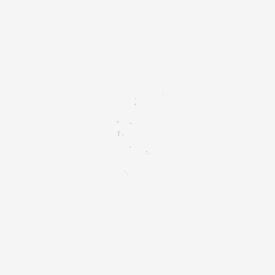 CNC(=O)c1cc(NS(=O)(=O)Cc2ccc(F)cc2)ccn1